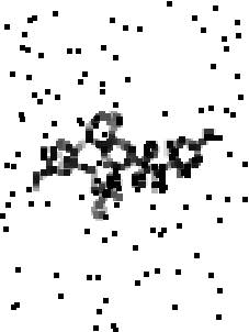 C=C(/C(=C\C(=C/C)C(F)(F)F)CCS(C)(=O)=O)[C@@H]1CCOc2cc(S(=O)(=O)Nc3ncc(F)cn3)ccc21